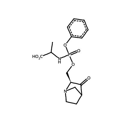 CC(NP(=O)(OC[C@H]1C(=O)C2CCN1C2)Oc1ccccc1)C(=O)O